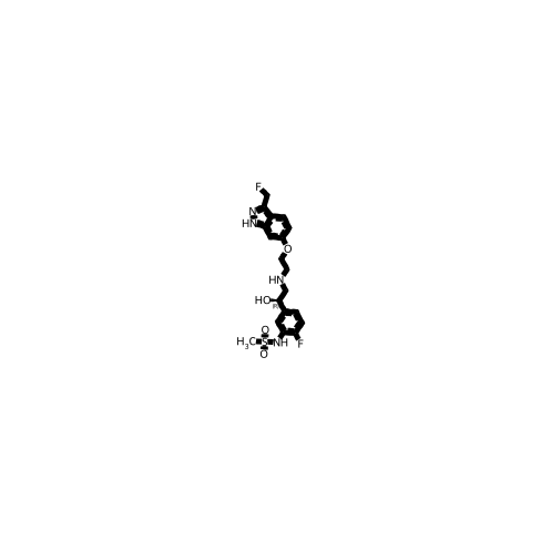 CS(=O)(=O)Nc1cc([C@@H](O)CNCCOc2ccc3c(CF)n[nH]c3c2)ccc1F